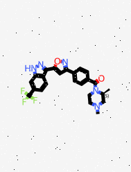 C[C@H]1CN(C)CCN1C(=O)c1ccc(-c2cc(-c3n[nH]c4cc(C(F)(F)F)ccc34)on2)cc1